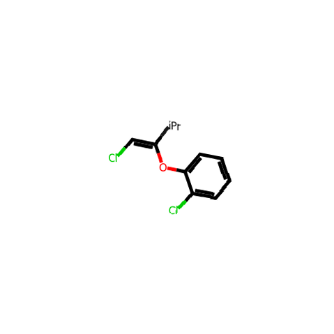 CC(C)/C(=C/Cl)Oc1ccccc1Cl